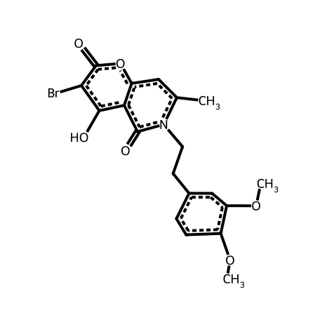 COc1ccc(CCn2c(C)cc3oc(=O)c(Br)c(O)c3c2=O)cc1OC